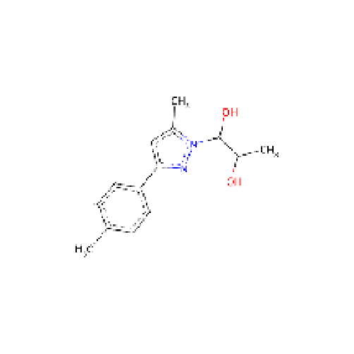 Cc1[c]cc(-c2cc(C)n(C(O)C(C)O)n2)cc1